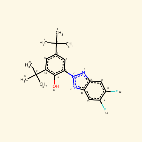 CC(C)(C)c1cc(-n2nc3cc(F)c(F)cc3n2)c(O)c(C(C)(C)C)c1